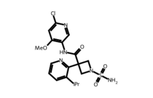 COc1cc(Cl)ncc1NC(=O)C1(c2ncccc2C(C)C)CN(S(N)(=O)=O)C1